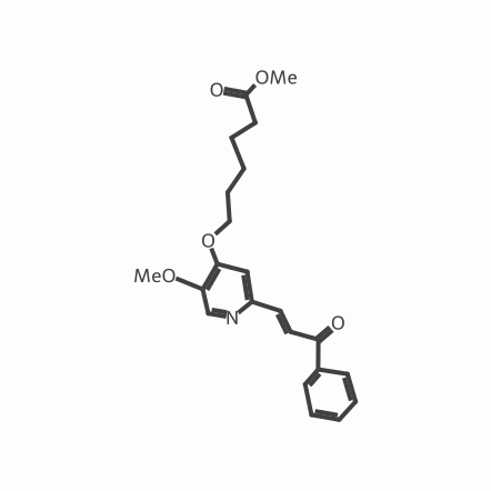 COC(=O)CCCCCOc1cc(/C=C/C(=O)c2ccccc2)ncc1OC